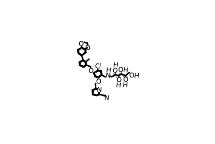 Cc1c(COc2cc(OCc3cccc(C#N)n3)c(CNC[C@H](O)[C@@H](O)[C@H](O)[C@H](O)CO)cc2Cl)cccc1-c1ccc2c(c1)OCCO2